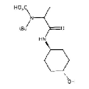 CC(C(=O)N[C@H]1CC[C@H](O)CC1)N(C(=O)O)C(C)(C)C